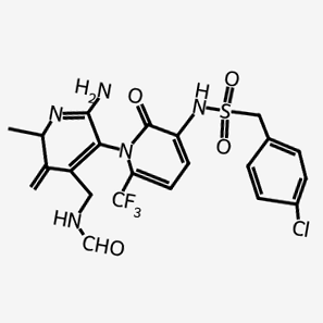 C=C1C(CNC=O)=C(n2c(C(F)(F)F)ccc(NS(=O)(=O)Cc3ccc(Cl)cc3)c2=O)C(N)=NC1C